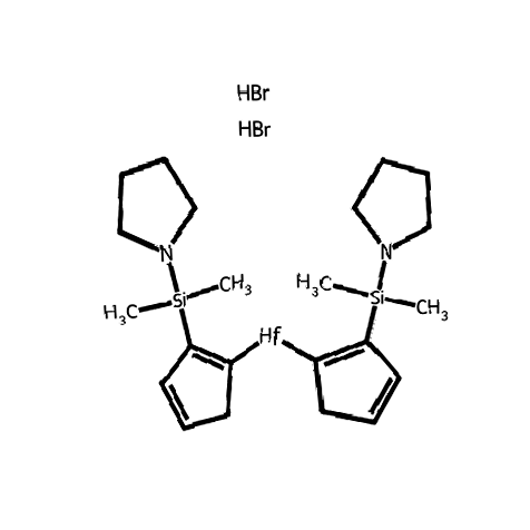 Br.Br.C[Si](C)(C1=[C]([Hf][C]2=C([Si](C)(C)N3CCCC3)C=CC2)CC=C1)N1CCCC1